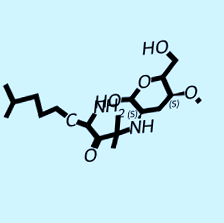 CO[C@H]1C[C@H](NC(C)(C)C(=O)C(N)CCCCC(C)C)C(O)OC1CO